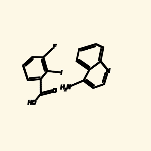 Nc1ccnc2ccccc12.O=C(O)c1cccc(F)c1I